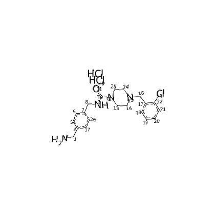 Cl.Cl.NCc1ccc(CNC(=O)N2CCN(Cc3ccccc3Cl)CC2)cc1